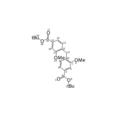 COc1cc(C(=O)OC(C)(C)C)ccc1Cc1ccc(C(=O)OC(C)(C)C)cc1OC